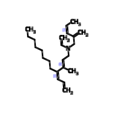 C=C/C=C(CCCCCCCC)\C(C)=C\CN(C=C)CC(=C)/C=C\C